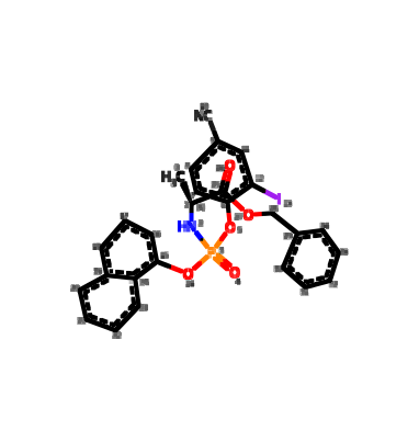 C[C@H](NP(=O)(Oc1ccc(C#N)cc1I)Oc1cccc2ccccc12)C(=O)OCc1ccccc1